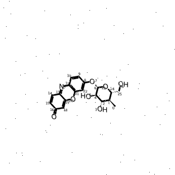 C[C@H]1[C@H](O)[C@@H](O)[C@H](Oc2ccc3nc4ccc(=O)cc-4oc3c2)O[C@@H]1CO